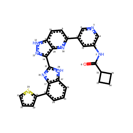 O=C(Nc1cncc(-c2ccc3[nH]nc(-c4nc5c(-c6cccs6)cccc5[nH]4)c3n2)c1)C1CCC1